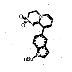 CCCCn1ccc2cc(C3=CC=CN4CCS(=O)(=O)N=C34)ccc21